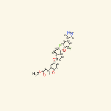 COC(=O)C[C@@H]1COc2ccc(O[C@@H]3CCc4c(Oc5c(F)cc(C6C=NN=C6)cc5F)ccc(F)c43)cc21